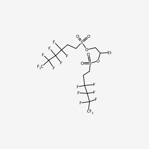 CCC(COS(=O)(=O)CCC(F)(F)C(F)(F)C(F)(F)C(F)(F)F)OS(=O)(=O)CCC(F)(F)C(F)(F)C(F)(F)C(F)(F)F